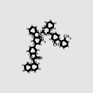 Cc1ccccc1-c1ccc(-c2nc(N3c4ccccc4C4C=C(c5ccc6sc(-c7cccc8ccccc78)c(Br)c6c5)C=CC43C)nc3ccccc23)cc1C